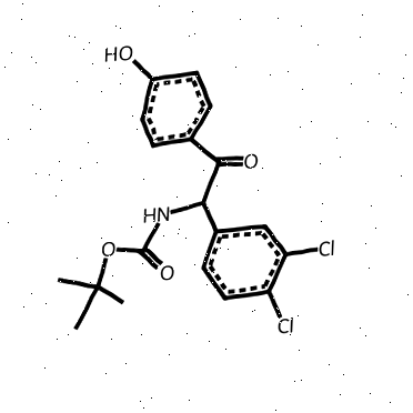 CC(C)(C)OC(=O)NC(C(=O)c1ccc(O)cc1)c1ccc(Cl)c(Cl)c1